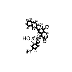 CC[C@@]1(OC(Oc2ccc(C(C)C)cc2)C(=O)O)C(=O)OCc2c1cc1n(c2=O)Cc2cc3ccccc3nc2-1